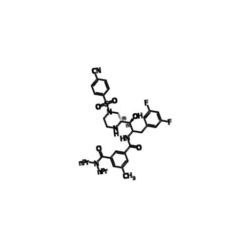 CCCN(CCC)C(=O)c1cc(C)cc(C(=O)NC(Cc2cc(F)cc(F)c2)[C@H](O)[C@H]2CN(S(=O)(=O)c3ccc(C#N)cc3)CCN2)c1